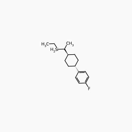 CC[SiH2]C(C)[C@H]1CC[C@H](c2ccc(F)cc2)CC1